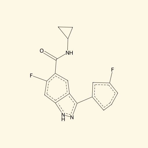 O=C(NC1CC1)c1cc2c(-c3cccc(F)c3)n[nH]c2cc1F